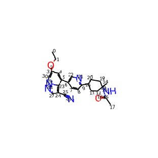 CCOc1cc(-c2ccc(C3CCC(C)(NC(C)=O)CC3)nc2)c2c(C#N)cnn2c1